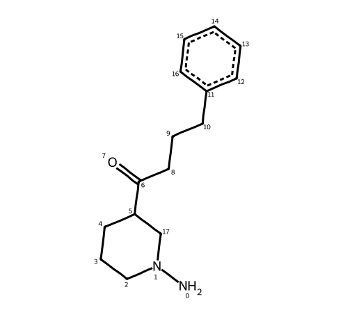 NN1CCCC(C(=O)CCCc2ccccc2)C1